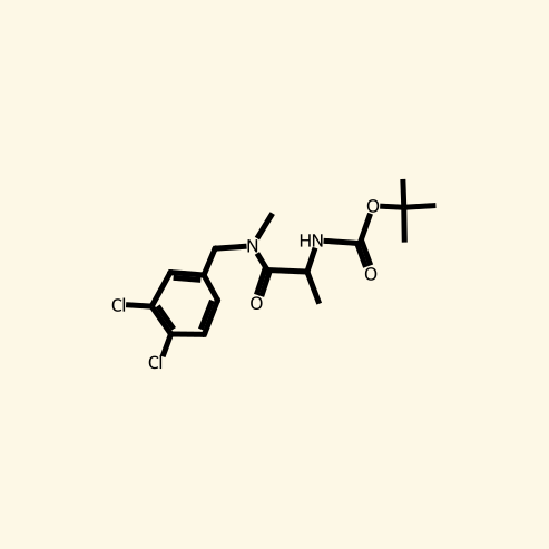 CC(NC(=O)OC(C)(C)C)C(=O)N(C)Cc1ccc(Cl)c(Cl)c1